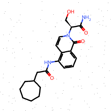 NC(=O)[C@H](CO)n1ccc2c(NC(=O)CC3CCCCCC3)cccc2c1=O